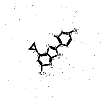 O=C(O)c1cc(C2CC2)c2nc(-c3ccc(Br)cc3F)[nH]c2n1